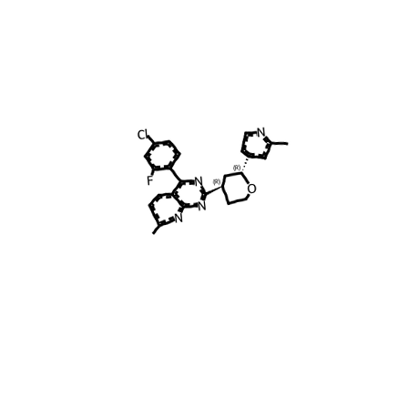 Cc1cc([C@H]2C[C@H](c3nc(-c4ccc(Cl)cc4F)c4ccc(C)nc4n3)CCO2)ccn1